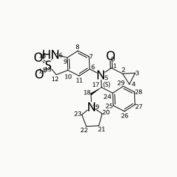 O=C(C1CC1)N(c1ccc2c(c1)CS(=O)(=O)N2)[C@H](CN1CCCC1)c1ccccc1